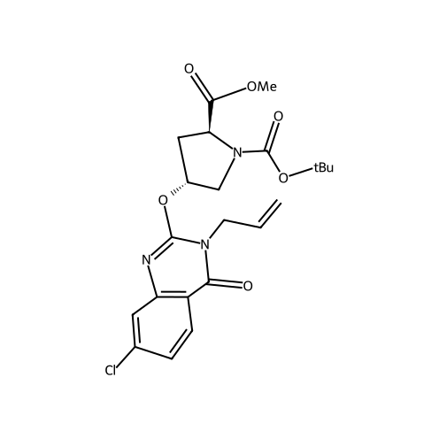 C=CCn1c(O[C@@H]2C[C@@H](C(=O)OC)N(C(=O)OC(C)(C)C)C2)nc2cc(Cl)ccc2c1=O